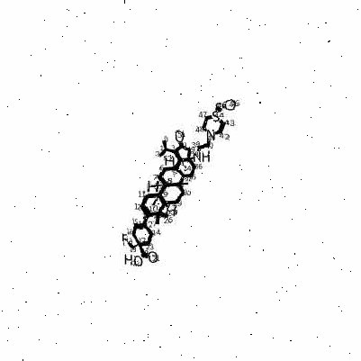 CC(C)C1=C2[C@H]3CC[C@@H]4[C@@]5(C)CC=C(C6=CC[C@@](CF)(C(=O)O)CC6)C(C)(C)[C@@H]5CC[C@@]4(C)[C@]3(C)CC[C@@]2(NCCN2CCS(=S=O)CC2)CC1=O